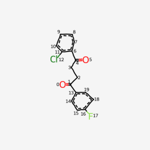 O=C(CCC(=O)c1ccccc1Cl)c1ccc(F)cc1